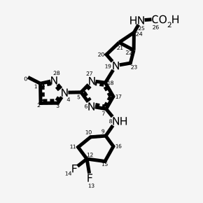 Cc1ccn(-c2nc(NC3CCC(F)(F)CC3)cc(N3CC4C(C3)C4NC(=O)O)n2)n1